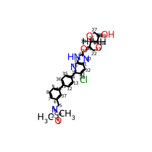 CS(C)(=O)=NCc1cccc(-c2ccc(-c3nc4[nH]c(O[C@@H]5CO[C@H]6[C@@H]5OC[C@H]6O)nc4cc3Cl)cc2)c1